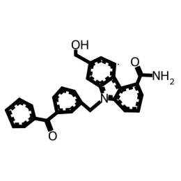 NC(=O)c1cccc2c1c1[c]cc(CO)cc1n2Cc1cccc(C(=O)c2ccccc2)c1